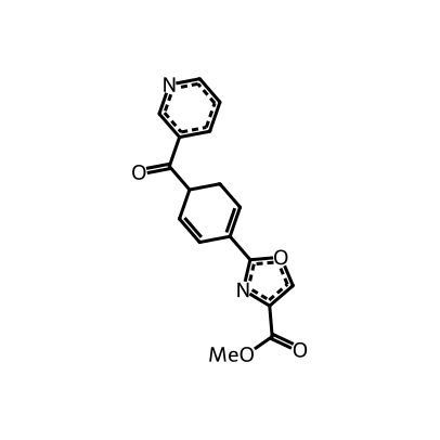 COC(=O)c1coc(C2=CCC(C(=O)c3cccnc3)C=C2)n1